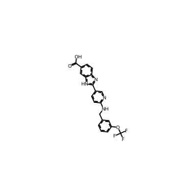 O=C(O)c1ccc2nc(-c3ccc(NCc4cccc(OC(F)(F)F)c4)nc3)[nH]c2c1